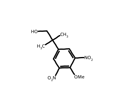 COc1c([N+](=O)[O-])cc(C(C)(C)CO)cc1[N+](=O)[O-]